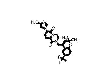 Cc1cn(-c2ccc3n(c2=O)CCN(CC2=CC(C)(C)Oc4ccc(C(F)(F)F)cc42)C3=O)cn1